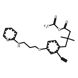 C#Cc1cc(OCCCNc2ccccn2)ccc1CC(C)(C)CC(=O)OC(=O)C(F)(F)F